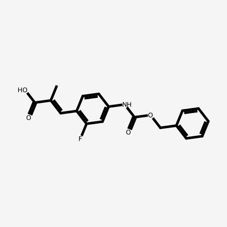 C/C(=C\c1ccc(NC(=O)OCc2ccccc2)cc1F)C(=O)O